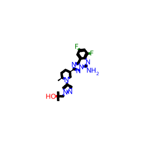 C[C@H]1CC[C@@H](c2nc3c4cc(F)cc(F)c4nc(N)n3n2)CN1c1cnn(CC(C)(C)O)c1